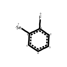 Fc1ccccc1[Se]